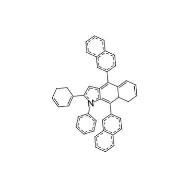 C1=CCCC(c2cc3c(n2-c2ccccc2)=C(c2ccc4ccccc4c2)C2CC=CC=C2C=3c2ccc3ccccc3c2)=C1